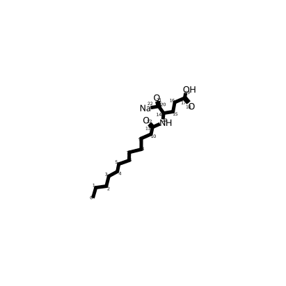 CCCCCCCCCCCC(=O)NC(CCC(=O)O)[C](=O)[Na]